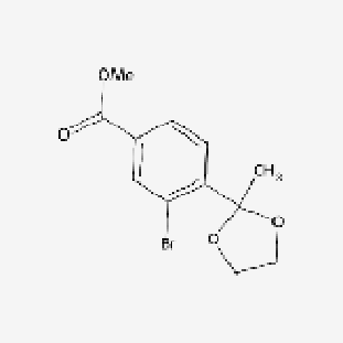 COC(=O)c1ccc(C2(C)OCCO2)c(Br)c1